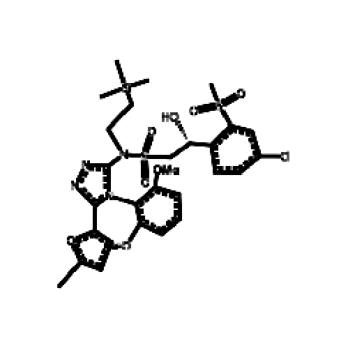 COc1cccc(OC)c1-n1c(-c2ccc(C)o2)nnc1N(CC[Si](C)(C)C)S(=O)(=O)C[C@H](O)c1ccc(Cl)cc1S(C)(=O)=O